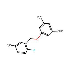 O=Cc1cc(OCc2cc(C(F)(F)F)ccc2F)cc(C(F)(F)F)c1